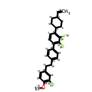 C=CC1CCC(c2ccc(-c3ccc(CCc4ccc(OCC)c(F)c4)cc3)c(F)c2F)CC1